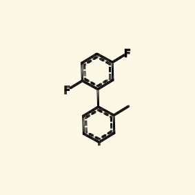 Cc1c[c]ccc1-c1cc(F)ccc1F